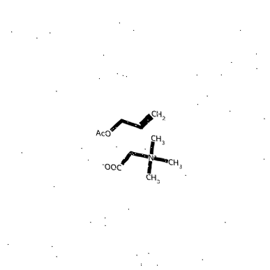 C=CCOC(C)=O.C[N+](C)(C)CC(=O)[O-]